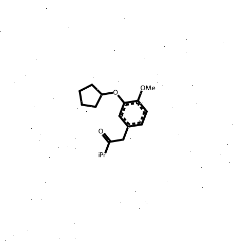 COc1ccc(CC(=O)C(C)C)cc1OC1CCCC1